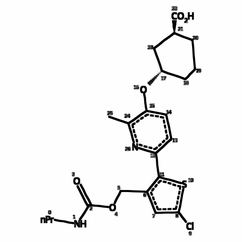 CCCNC(=O)OCc1cc(Cl)sc1-c1ccc(O[C@H]2CCC[C@H](C(=O)O)C2)c(C)n1